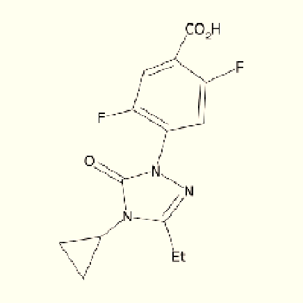 CCc1nn(-c2cc(F)c(C(=O)O)cc2F)c(=O)n1C1CC1